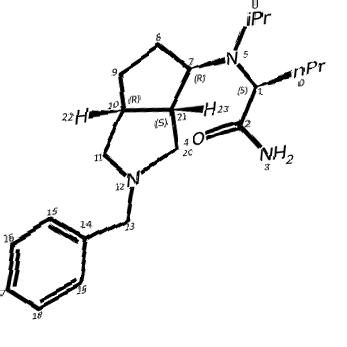 CCC[C@@H](C(N)=O)N(C(C)C)[C@@H]1CC[C@H]2CN(Cc3ccccc3)C[C@H]21